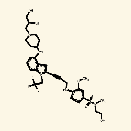 COc1cc(S(=O)(=O)N(C)CCO)ccc1NCC#Cc1cc2c(NC3CCN(CC(O)CO)CC3)cccc2n1CC(F)(F)F